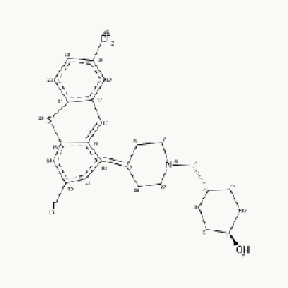 O[C@H]1CC[C@H](CN2CCC(=c3cc(F)cc4c3=Cc3cc(C(F)(F)F)ccc3S4)CC2)CC1